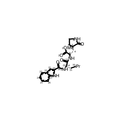 COC(=O)[C@H](C[C@@H]1CCNC1=O)NC(=O)[C@H](CC(C)C)NC(=O)c1cc2ccccc2[nH]1